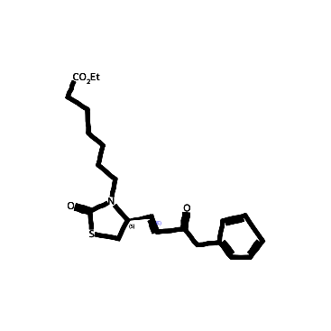 CCOC(=O)CCCCCCN1C(=O)SC[C@@H]1/C=C/C(=O)Cc1ccccc1